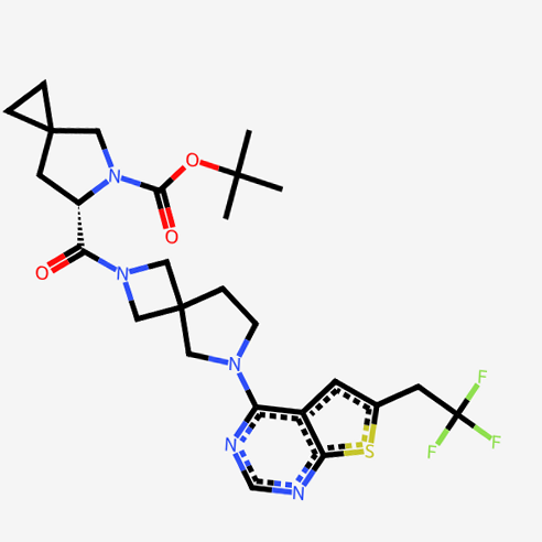 CC(C)(C)OC(=O)N1CC2(CC2)C[C@H]1C(=O)N1CC2(CCN(c3ncnc4sc(CC(F)(F)F)cc34)C2)C1